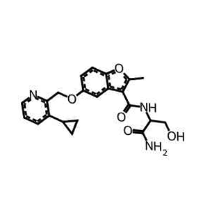 Cc1oc2ccc(OCc3ncccc3C3CC3)cc2c1C(=O)NC(CO)C(N)=O